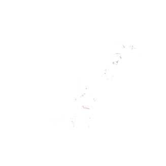 CCCOC(=O)OC(C)OC(=O)C[C@@H]1C[C@@H](COc2ccc(-c3ccc(C(=N)N)cc3)cc2)NC1=O.Cl